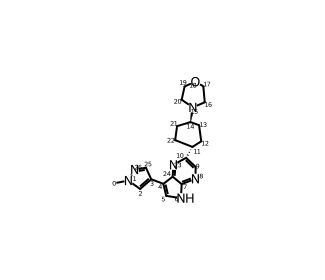 Cn1cc(-c2c[nH]c3ncc([C@H]4CC[C@H](N5CCOCC5)CC4)nc23)cn1